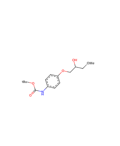 COCC(O)COc1ccc(NC(=O)OC(C)(C)C)cc1